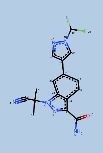 CC(C)(C#N)n1nc(C(N)=O)c2ccc(-c3cnn(C(F)F)c3)cc21